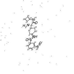 CN(C(=O)[C@@H](N)C1CCC(N[S+]([O-])c2cccc([S+](C)[O-])c2)CC1)C1CCC1